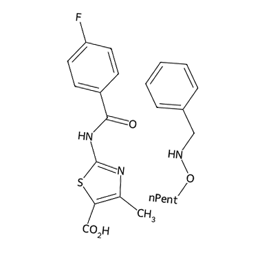 CCCCCONCc1ccccc1.Cc1nc(NC(=O)c2ccc(F)cc2)sc1C(=O)O